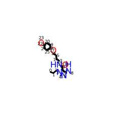 CCCn1cnc(NC)c1C(=O)NCCCCOc1ccc(OC)cc1